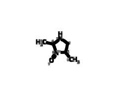 CC1CNC(C)[N+]1=O